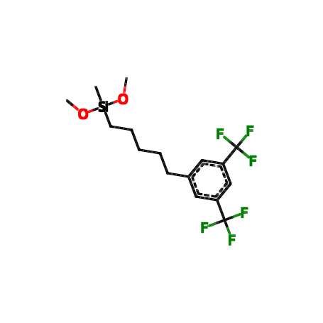 CO[Si](C)(CCCCCc1cc(C(F)(F)F)cc(C(F)(F)F)c1)OC